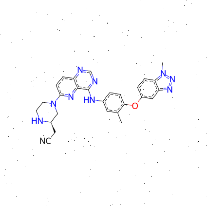 Cc1cc(Nc2ncnc3ccc(N4CCN[C@H](CC#N)C4)nc23)ccc1Oc1ccc2c(c1)nnn2C